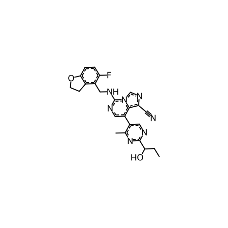 CCC(O)c1ncc(-c2cnc(NCc3c(F)ccc4c3CCO4)n3cnc(C#N)c23)c(C)n1